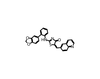 O=C1N=C(Nc2ccccc2-c2ccc3c(c2)OCO3)SC1=Cc1ccc2ncccc2c1